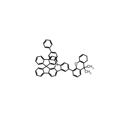 CC1(C)C2=C(C=CCC2)Oc2c(-c3ccc4c(c3)c3ccc5c(c3n4-c3ccc(-c4ccccc4)cc3)C3(c4ccccc4-c4ccccc43)c3ccccc3-5)cccc21